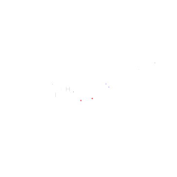 CC1(C)c2ccccc2-c2cccc(-c3cccc(N(c4ccc5c(c4)C4(CC6CCC4C6)c4ccccc4-5)c4ccccc4-c4cccc5c4ccc4ccccc45)c3)c21